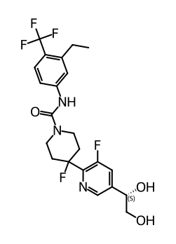 CCc1cc(NC(=O)N2CCC(F)(c3ncc([C@H](O)CO)cc3F)CC2)ccc1C(F)(F)F